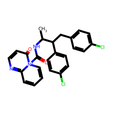 CC(NC(=O)[N+]12C=CC=CC1=NC=CC2=O)C(Cc1ccc(Cl)cc1)c1ccc(Cl)cc1